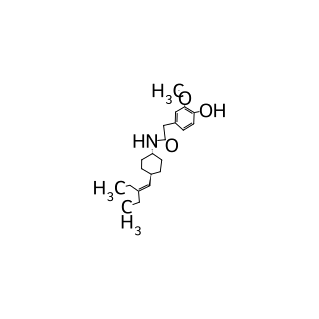 CCC(=C[C@H]1CC[C@H](NC(=O)Cc2ccc(O)c(OC)c2)CC1)CC